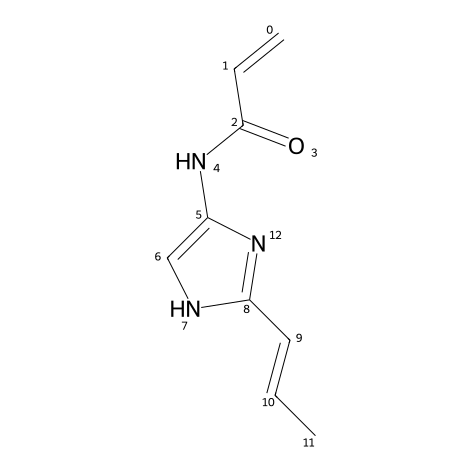 C=CC(=O)Nc1c[nH]c(C=CC)n1